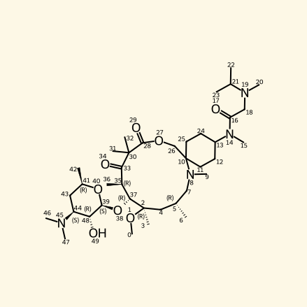 CO[C@]1(C)C[C@@H](C)CN(C)C2(CCC(N(C)C(=O)CN(C)C(C)C)CC2)COC(=O)C(C)(C)C(=O)[C@H](C)[C@H]1O[C@@H]1O[C@H](C)C[C@H](N(C)C)[C@H]1O